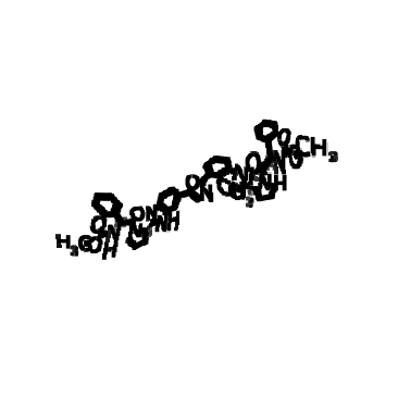 COC(=O)N[C@@H](C(=O)N1CCC[C@H]1C(=O)Nc1cccc(-c2ncc(-c3ccc4nc([C@@H]5CCCN5C(=O)[C@H](NC(=O)OC)c5ccccc5)[nH]c4c3)o2)c1C)c1ccccc1